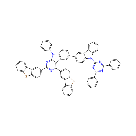 c1ccc(-c2nc(-c3ccccc3)nc(-n3c4ccccc4c4cc(-c5ccc6c(c5)c5c(-c7ccc8sc9ccccc9c8c7)nc(-c7ccc8sc9ccccc9c8c7)nc5n6-c5ccccc5)ccc43)n2)cc1